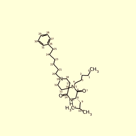 CCCCCN1C(=O)[C@H](CC(C)C)NC(=O)C12CCN(CCCCCCc1ccccc1)CC2